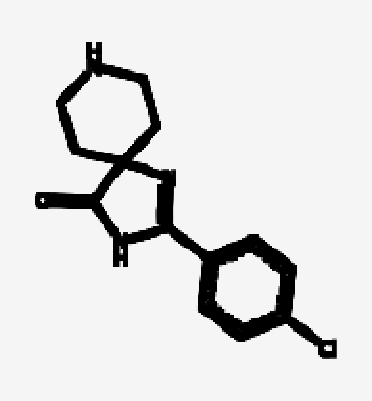 O=C1NC(c2ccc(Cl)cc2)=NC12CCNCC2